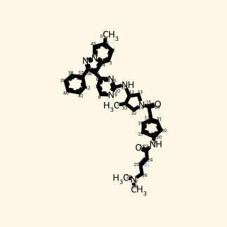 Cc1ccc2c(-c3ccnc(NC4CN(C(=O)c5ccc(NC(=O)/C=C/CN(C)C)cc5)CC4C)n3)c(-c3ccccc3)nn2c1